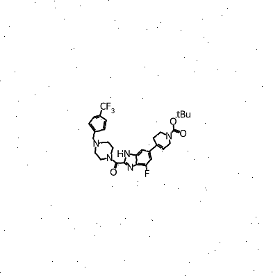 CC(C)(C)OC(=O)N1CC=C(c2cc(F)c3nc(C(=O)N4CCN(Cc5ccc(C(F)(F)F)cc5)CC4)[nH]c3c2)CC1